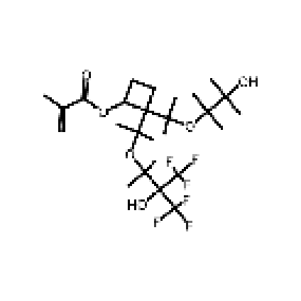 C=C(C)C(=O)OC1CCC1(C(C)(C)OC(C)(C)C(C)(C)O)C(C)(C)OC(C)(C)C(O)(C(F)(F)F)C(F)(F)F